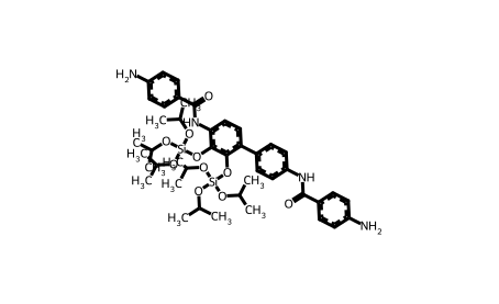 CC(C)O[Si](Oc1c(NC(=O)c2ccc(N)cc2)ccc(-c2ccc(NC(=O)c3ccc(N)cc3)cc2)c1O[Si](OC(C)C)(OC(C)C)OC(C)C)(OC(C)C)OC(C)C